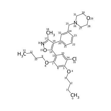 CCCCOc1cc(OCCCC)c(-c2onc(C)c2-c2cccc(CN3CCOCC3)c2)cc1Cl